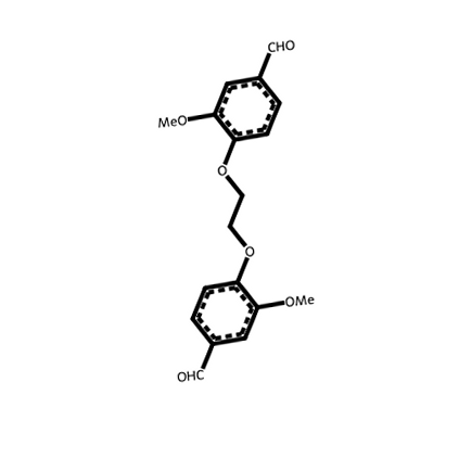 COc1cc(C=O)ccc1OCCOc1ccc(C=O)cc1OC